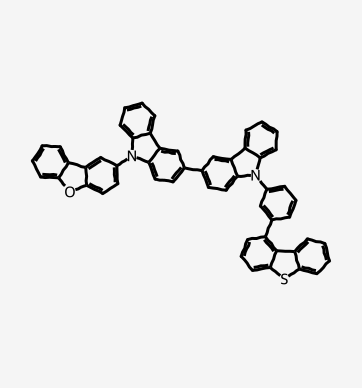 c1cc(-c2cccc3sc4ccccc4c23)cc(-n2c3ccccc3c3cc(-c4ccc5c(c4)c4ccccc4n5-c4ccc5oc6ccccc6c5c4)ccc32)c1